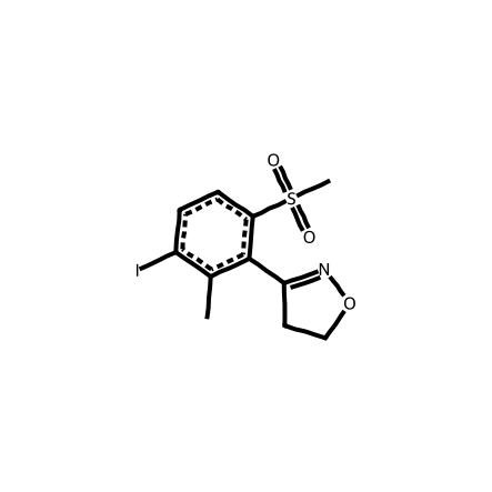 Cc1c(I)ccc(S(C)(=O)=O)c1C1=NOCC1